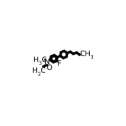 C=CC(=O)N(C)c1ccc(C2CCC(CCCCC)CC2)c(F)c1